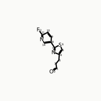 O=CCCc1csc(-c2ccc(F)nc2)n1